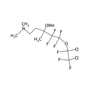 COC(C)(CCN(C)C)C(F)(F)C(F)(F)OC(F)(Cl)C(F)(F)Cl